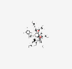 CCC(=O)OCOP(=O)(OCOC(=O)CC)O[C@@H]1[C@@H](OCc2cc(OC)c(OC)cc2[N+](=O)[O-])[C@H](OP(=O)(OCOC(=O)CC)OCOC(=O)CC)[C@@H]2OC(C)(C)O[C@@H]2[C@H]1OP(=O)(OCOC(=O)CC)OCOC(=O)CC